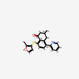 Cc1occc1Sc1ccc(-c2ccccn2)c2c1C(=O)CC(C)C2